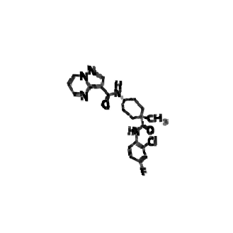 C[C@]1(C(=O)Nc2ccc(F)cc2Cl)CC[C@@H](NC(=O)c2cnn3cccnc23)CC1